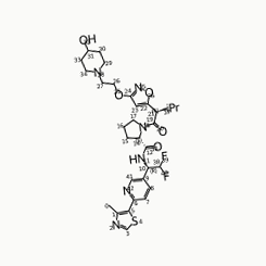 Cc1ncsc1-c1ccc([C@@H](NC(=O)[C@@H]2CCCN2C(=O)[C@@H](c2cc(OCCN3CCC(O)CC3)no2)C(C)C)C(F)F)cn1